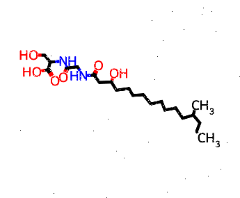 CCCC(C)CCCCCCCCCC(O)CC(=O)NCC(=O)NC(CO)C(=O)O